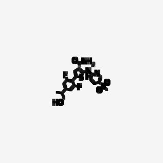 CC(CO)c1cc(F)c(-c2cc(C(N)=O)c(Nc3ccc(S(C)(=O)=O)cn3)s2)c(F)c1